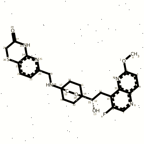 COc1ccc2ncc(F)c(C[C@H](O)C34CCC(NCc5ccc6c(n5)NC(=O)CS6)(CC3)CO4)c2n1